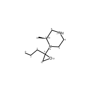 CCCC1(N2CCNC[C@@H]2C)CO1